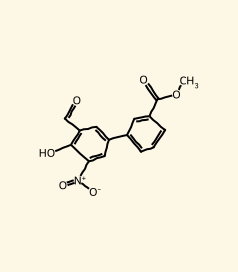 COC(=O)c1cccc(-c2cc(C=O)c(O)c([N+](=O)[O-])c2)c1